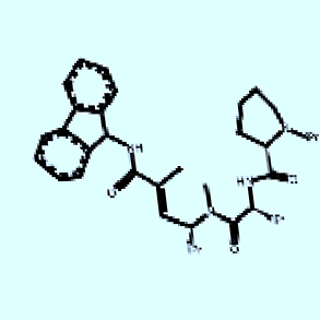 C/C(=C\[C@H](C(C)C)N(C)C(=O)[C@@H](NC(=O)[C@H]1CCCCN1C(C)C)C(C)C)C(=O)NC1c2ccccc2-c2ccccc21